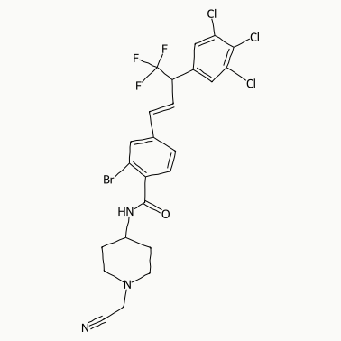 N#CCN1CCC(NC(=O)c2ccc(C=CC(c3cc(Cl)c(Cl)c(Cl)c3)C(F)(F)F)cc2Br)CC1